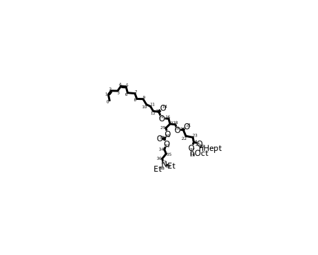 C/C=C\C/C=C\CCCCCCCC(=O)OCC(COC(=O)CCC(OCCCCCCC)OCCCCCCCC)COC(=O)OCCCN(CC)CC